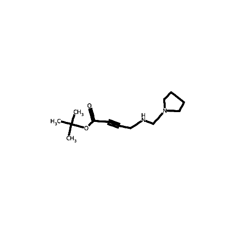 CC(C)(C)OC(=O)C#CCNCN1CCCC1